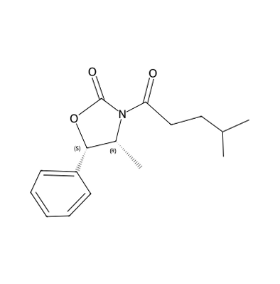 CC(C)CCC(=O)N1C(=O)O[C@@H](c2ccccc2)[C@H]1C